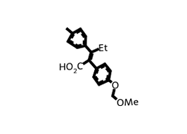 CC/C(=C(/C(=O)O)c1ccc(OCOC)cc1)c1ccc(C)cc1